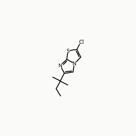 CCC(C)(C)c1cn2cc(Cl)sc2n1